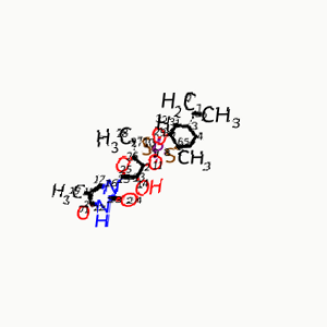 C=C(C)[C@@H]1CC[C@]2(C)S[P@@](=S)(O[C@H]3[C@@H](O)[C@H](n4cc(C)c(=O)[nH]c4=O)O[C@@H]3CC)O[C@H]2C1